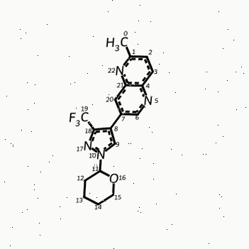 Cc1ccc2ncc(-c3cn(C4CCCCO4)nc3C(F)(F)F)cc2n1